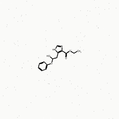 CCOC(=O)c1nc[nH]c1CC(O)Oc1ccccc1